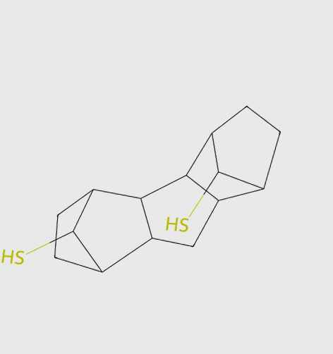 SC1C2CCC1C1C2CC2C3CCC(C3S)C21